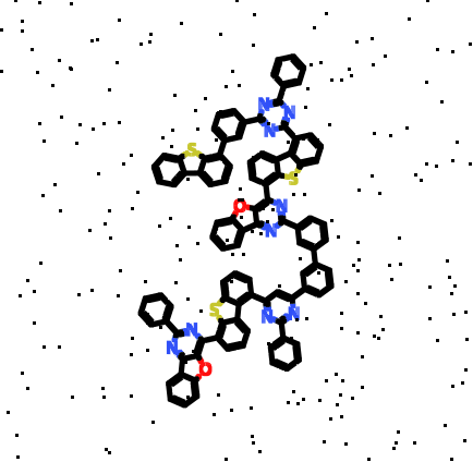 c1ccc(-c2nc(-c3cccc(-c4cccc(-c5nc(-c6cccc7c6sc6cccc(-c8nc(-c9ccccc9)nc(-c9cccc(-c%10cccc%11c%10sc%10ccccc%10%11)c9)n8)c67)c6oc7ccccc7c6n5)c4)c3)cc(-c3cccc4sc5c(-c6nc(-c7ccccc7)nc7c6oc6ccccc67)cccc5c34)n2)cc1